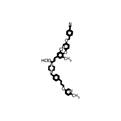 Cc1ccc(OCCCc2ccc(CN3CCN(C(=O)C=Cc4cc(C)c(Oc5ccc(OCc6ccc(C#N)cc6)cn5)c(Cl)c4)CC3)cc2)cn1.Cl